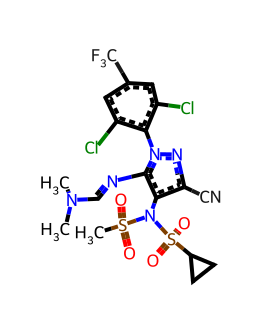 CN(C)/C=N/c1c(N(S(C)(=O)=O)S(=O)(=O)C2CC2)c(C#N)nn1-c1c(Cl)cc(C(F)(F)F)cc1Cl